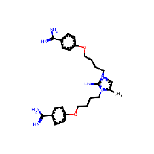 Cc1cn(CCCCOc2ccc(C(=N)N)cc2)c(=N)n1CCCCOc1ccc(C(=N)N)cc1